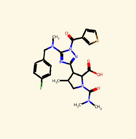 CC1CN(C(=O)N(C)C)C(C(=O)O)C1c1nc(N(C)Cc2ccc(F)cc2)n(C(=O)c2ccsc2)n1